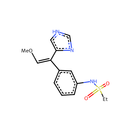 CCS(=O)(=O)Nc1cccc(/C(=C/OC)c2c[nH]cn2)c1